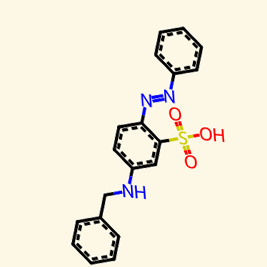 O=S(=O)(O)c1cc(NCc2ccccc2)ccc1N=Nc1ccccc1